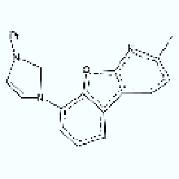 Cc1ccc2c(n1)oc1c(N3C=CN(C(C)C)C3)cccc12